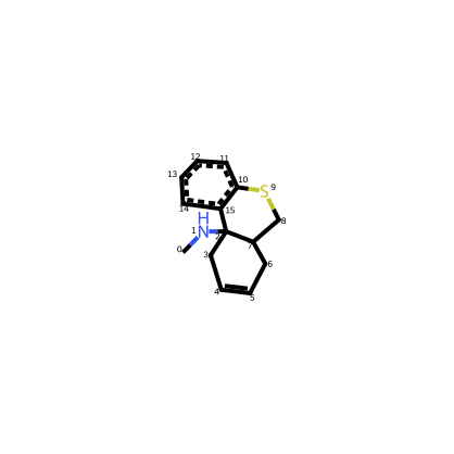 CNC12CC=CCC1CSc1ccccc12